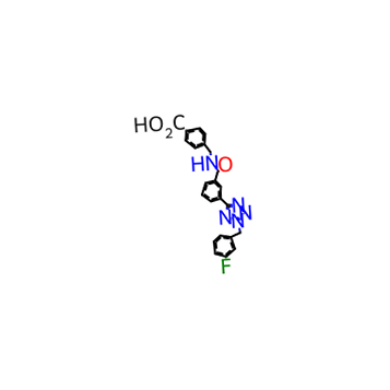 O=C(O)c1ccc(CNC(=O)c2cccc(-c3nnn(Cc4cccc(F)c4)n3)c2)cc1